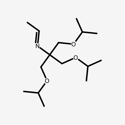 C/C=N/C(COC(C)C)(COC(C)C)COC(C)C